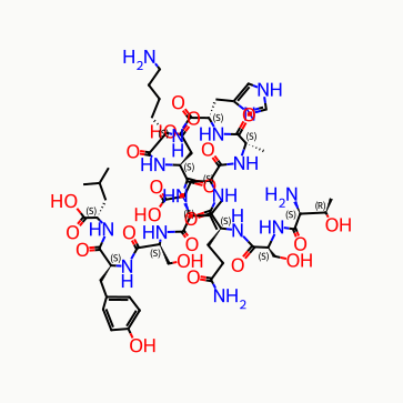 CC(C)C[C@H](NC(=O)[C@H](Cc1ccc(O)cc1)NC(=O)[C@H](CO)NC(=O)[C@@H](NC(=O)[C@H](CC(=O)O)NC(=O)[C@H](CCCCN)NC(=O)[C@H](Cc1c[nH]cn1)NC(=O)[C@H](C)NC(=O)[C@H](CCC(=O)O)NC(=O)[C@H](CCC(N)=O)NC(=O)[C@H](CO)NC(=O)[C@@H](N)[C@@H](C)O)C(C)C)C(=O)O